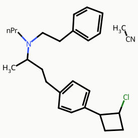 CC#N.CCCN(CCc1ccccc1)C(C)CCc1ccc(C2CCC2Cl)cc1